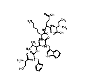 CC[C@H](C)[C@H](NC(=O)[C@H](CCC(=O)O)NC(=O)[C@H](CCCCN)NC(=O)[C@H](Cc1c[nH]c2ccccc12)NC(=O)[C@@H](NC(=O)[C@H](Cc1ccccc1)NC(=O)[C@@H](N)CO)C(C)C)C(=O)O